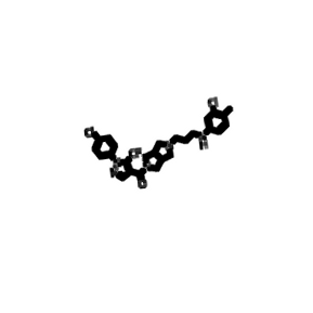 Cc1ccc(NCCCN2CC3CN(C(=O)c4cnn(-c5ccc(Cl)cc5)c4C(F)(F)F)CC3C2)cc1Cl